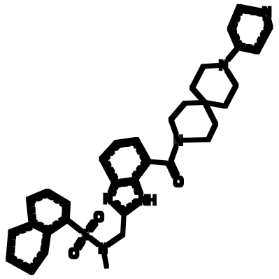 CN(Cc1nc2cccc(C(=O)N3CCC4(CC3)CCN(c3ccncc3)CC4)c2[nH]1)S(=O)(=O)c1cccc2ccccc12